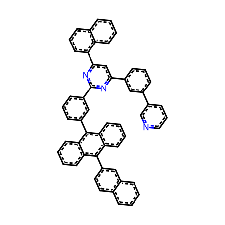 c1cncc(-c2cccc(-c3cc(-c4cccc5ccccc45)nc(-c4cccc(-c5c6ccccc6c(-c6ccc7ccccc7c6)c6ccccc56)c4)n3)c2)c1